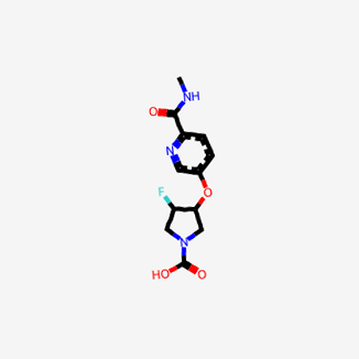 CNC(=O)c1ccc(OC2CN(C(=O)O)CC2F)cn1